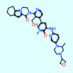 CC1CN(C2COC2)CCN1c1ccc(Nc2cc(-c3ccnc(N4CCn5c(cc6c5CCCC6)C4=O)c3CO)cn(C)c2=O)nc1